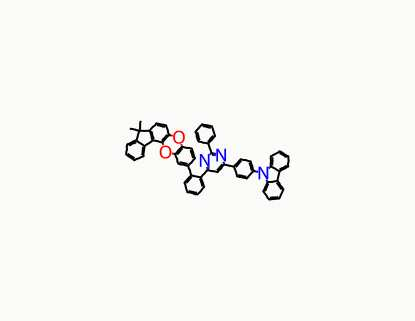 CC1(C)c2ccccc2-c2c1ccc1c2Oc2cc(-c3ccccc3-c3cc(-c4ccc(-n5c6ccccc6c6ccccc65)cc4)nc(-c4ccccc4)n3)ccc2O1